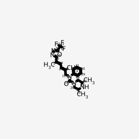 C/C(=C\C=C(/C)c1nnc(C(F)(F)F)o1)CN(C(=O)N1C[C@@H](C)N[C@@H](C)C1)c1ccccc1